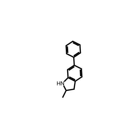 CC1Cc2ccc(-c3ccccc3)cc2N1